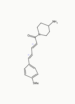 CSc1ccc(/C=C/C=C/C(=O)N2CCC(N)CC2)cc1